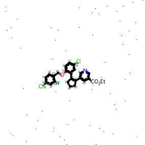 CCOC(=O)c1cncc(C2=C(c3cc(Cl)ccc3OCc3ccc(Cl)cc3F)CCC2)c1